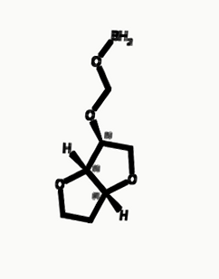 BOCO[C@H]1CO[C@@H]2CCO[C@H]12